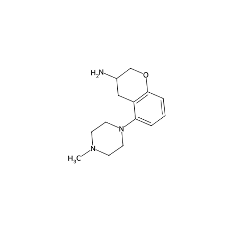 CN1CCN(c2cccc3c2CC(N)CO3)CC1